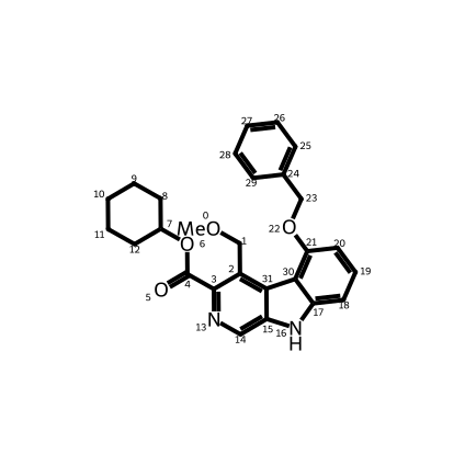 COCc1c(C(=O)OC2CCCCC2)ncc2[nH]c3cccc(OCc4ccccc4)c3c12